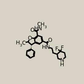 CNC(=O)c1cc(C(=O)NCCC2CNCCC2(F)F)cc2c1OC(C)[C@H]2c1ccccc1